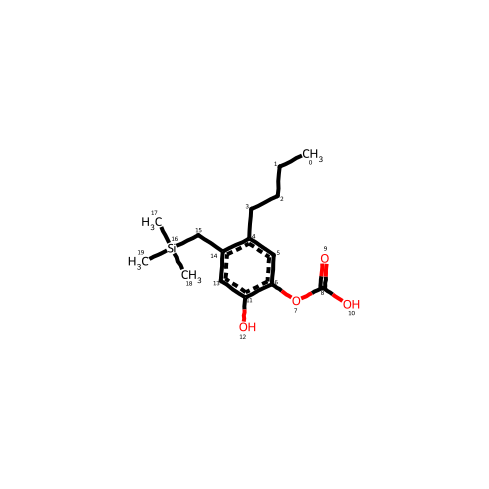 CCCCc1cc(OC(=O)O)c(O)cc1C[Si](C)(C)C